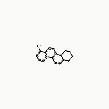 Oc1cccc2c1ccc1c3c(ccc12)CCCC3